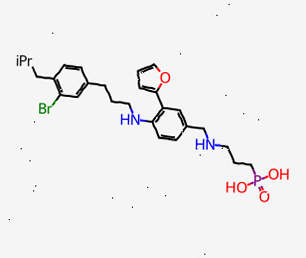 CC(C)Cc1ccc(CCCNc2ccc(CNCCCP(=O)(O)O)cc2-c2ccco2)cc1Br